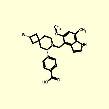 COc1cc(C)c2[nH]ccc2c1CN1CC[C@]2(C[C@H]1c1ccc(C(=O)O)cc1)C[C@@H](F)C2